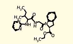 CCOC(=O)[C@@H]1Cc2ccccc2N1C(=O)CNC(=O)C(Nc1ncccn1)C(C)CC